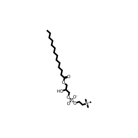 CCCCCCCCCCCCCC(=O)OCC(O)COP(=O)([O-])OCC[N+](C)(C)C